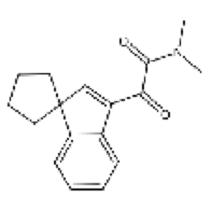 CN(C)C(=O)C(=O)C1=CC2(CCCC2)c2ccccc21